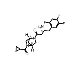 N[C@@H](CC(=O)N1C[C@H]2C[C@@H]1CN2C(=O)C1CC1)Cc1cc(F)c(F)cc1F